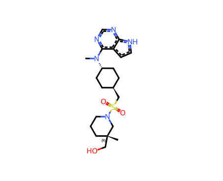 CN(c1ncnc2[nH]ccc12)[C@H]1CC[C@H](CS(=O)(=O)N2CCC[C@@](C)(CO)C2)CC1